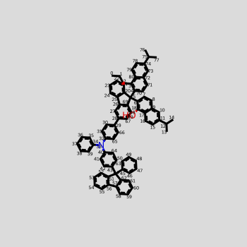 CCCc1c(C2(c3ccc4cc(C(C)C)ccc4c3O)c3ccccc3-c3cc(-c4ccc(N(c5ccccc5)c5ccc(C6(c7ccccc7)c7ccccc7-c7ccccc76)cc5)cc4)ccc32)ccc2cc(C(C)C)ccc12